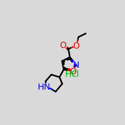 CCOC(=O)c1cc(C2CCNCC2)on1.Cl